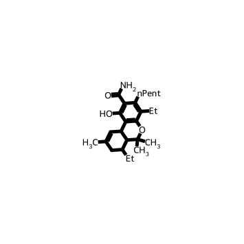 CCCCCc1c(CC)c2c(c(O)c1C(N)=O)C1C=C(C)CC(CC)C1C(C)(C)O2